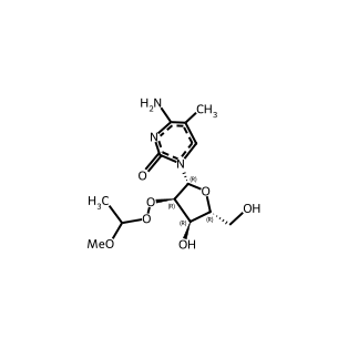 COC(C)OO[C@@H]1[C@H](O)[C@@H](CO)O[C@H]1n1cc(C)c(N)nc1=O